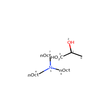 CC(O)C(=O)O.CCCCCCCCN(CCCCCCCC)CCCCCCCC